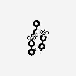 CS(=O)(=O)N1CCC(c2ccc(F)cc2)CC1.O=C(CCc1ccccc1)CS(=O)(=O)N1CCC(c2ccccc2F)CC1